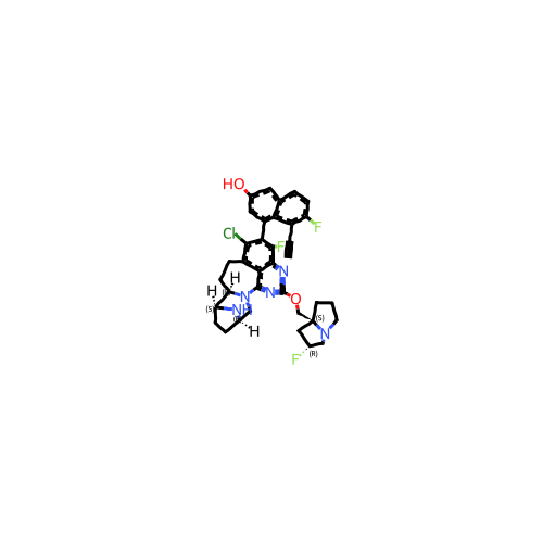 C#Cc1c(F)ccc2cc(O)cc(-c3c(Cl)c4c5c(nc(OC[C@@]67CCCN6C[C@H](F)C7)nc5c3F)N3C[C@H]5CC[C@H](N5)[C@H]3CC4)c12